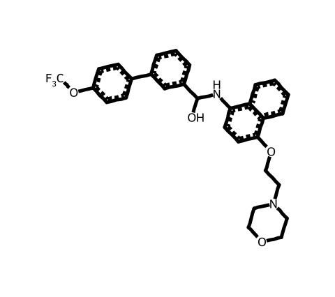 OC(Nc1ccc(OCCN2CCOCC2)c2ccccc12)c1cccc(-c2ccc(OC(F)(F)F)cc2)c1